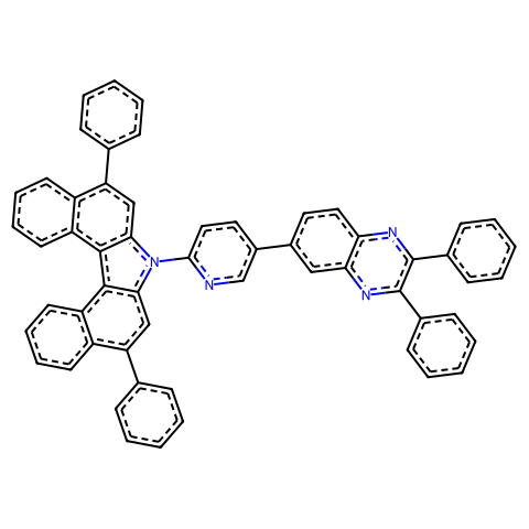 c1ccc(-c2nc3ccc(-c4ccc(-n5c6cc(-c7ccccc7)c7ccccc7c6c6c7ccccc7c(-c7ccccc7)cc65)nc4)cc3nc2-c2ccccc2)cc1